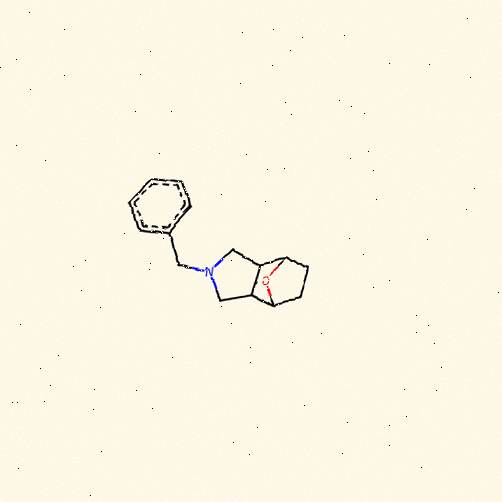 c1ccc(CN2CC3C4CCC(O4)C3C2)cc1